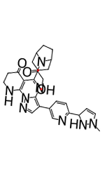 CN1C=CC(c2ccc(-c3cnn4c5c(c(C6CC7CCC(C6)N7C(=O)CO)nc34)C(=O)CCN5)cn2)N1